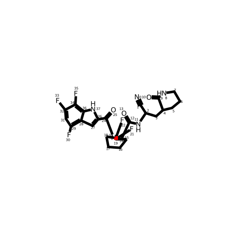 N#CC(CC1CCCNC1=O)NC(=O)C1C2CCC(CC2(F)F)N1C(=O)c1cc2c(F)cc(F)c(F)c2[nH]1